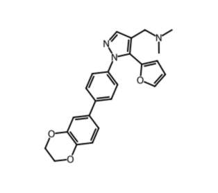 CN(C)Cc1cnn(-c2ccc(-c3ccc4c(c3)OCCO4)cc2)c1-c1ccco1